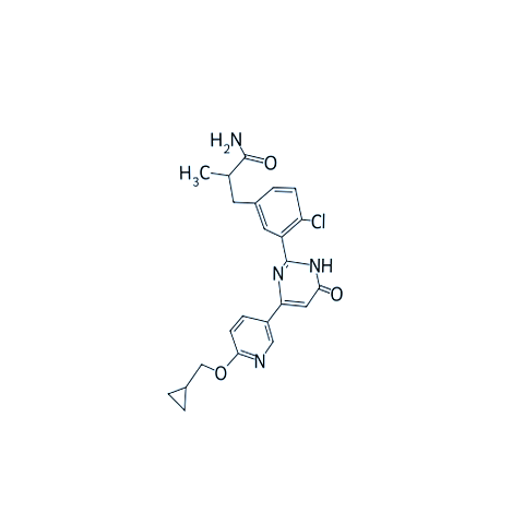 CC(Cc1ccc(Cl)c(-c2nc(-c3ccc(OCC4CC4)nc3)cc(=O)[nH]2)c1)C(N)=O